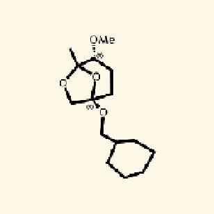 CO[C@@H]1CC[C@]2(OCC3CCCCC3)COC1(C)O2